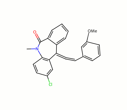 COc1cccc(C=C=C2c3ccccc3C(=O)N(C)c3ccc(Cl)cc32)c1